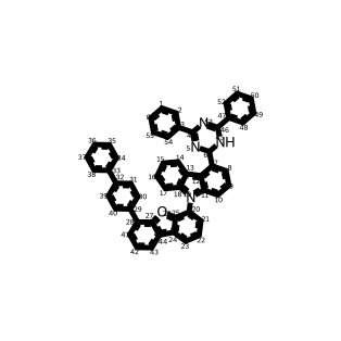 c1ccc(C2=NC(c3cccc4c3c3ccccc3n4-c3cccc4c3oc3c(-c5ccc(-c6ccccc6)cc5)cccc34)NC(c3ccccc3)=N2)cc1